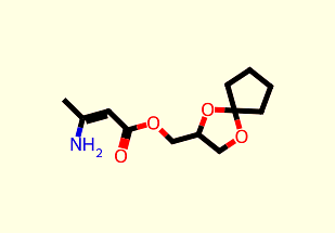 CC(N)=CC(=O)OCC1COC2(CCCC2)O1